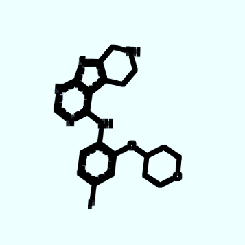 Fc1ccc(Nc2ncnc3sc4c(c23)CCNC4)c(OC2CCOCC2)c1